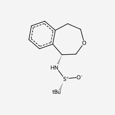 CC(C)(C)[S@@+]([O-])N[C@H]1COCCc2ccccc21